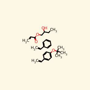 C=CC(=O)OCC(O)CC.C=Cc1ccc(OC(C)(C)C)cc1.C=Cc1ccccc1